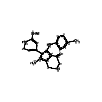 CC(=O)NC1=CC(c2c(Nc3ccc(C)cc3)c3c(n2N)CNCC3=O)=CCN1